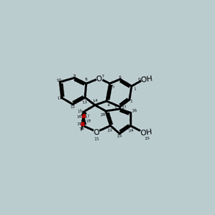 Oc1ccc2c(c1)Oc1ccccc1C21c2ccccc2Oc2cc(O)ccc21